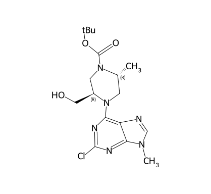 C[C@@H]1CN(c2nc(Cl)nc3c2ncn3C)[C@@H](CO)CN1C(=O)OC(C)(C)C